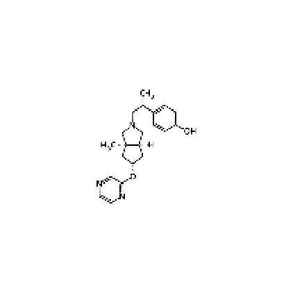 CC(CN1C[C@H]2C[C@H](Oc3cnccn3)C[C@@]2(C)C1)c1ccc(O)cc1